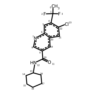 CC(F)(F)c1cc2ncc(C(=O)NC3CCCCC3)cc2cc1Cl